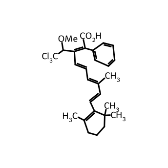 COC(C(C=CC=C(C)C=CC1=C(C)CCCC1(C)C)=C(C(=O)O)c1ccccc1)C(Cl)(Cl)Cl